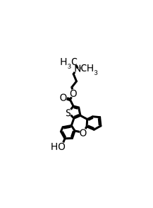 CN(C)CCCOC(=O)c1cc2c(s1)-c1ccc(O)cc1Oc1ccccc1-2